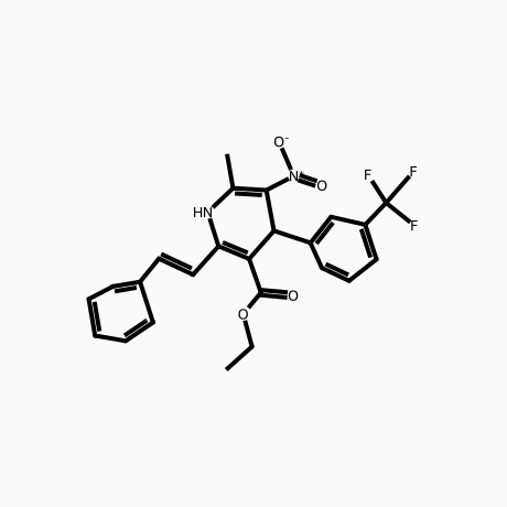 CCOC(=O)C1=C(/C=C/c2ccccc2)NC(C)=C([N+](=O)[O-])C1c1cccc(C(F)(F)F)c1